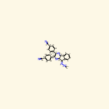 [C-]#[N+]/N=C1\c2ccccc2-c2nc(-c3ccc(C#N)cc3)c(-c3ccc(C#N)cc3)nc21